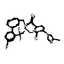 Cc1cn(-c2ccc3n(c2=O)CCN(Cc2cccc(-c4ccc(F)cc4C(F)(F)F)c2)C3=O)cn1